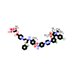 Cc1cc(S(=O)(=O)Nc2ccc(N3CCN(c4cc(F)cc(-c5c(S(C)(=O)=O)c(C)n(C(C)C)c5-c5ccc(Cl)cc5)c4)CC3)cc2)ccc1N[C@H](CCN1CCC(C(=O)OC(C)CP(=O)(O)O)CC1)CSc1ccccc1F